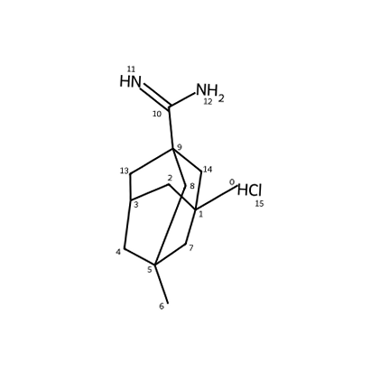 CC12CC3CC(C)(C1)CC(C(=N)N)(C3)C2.Cl